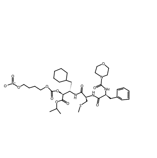 CSC[C@H](NC(=O)[C@H](Cc1ccccc1)NC(=O)N1CCOCC1)C(=O)N[C@@H](CC1CCCCC1)[C@H](OC(=O)OCCCCO[N+](=O)[O-])C(=O)OC(C)C